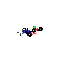 CN(C)[C@H]1CCN(CC(c2ccc(OCc3ccccc3)c(Cl)c2)C2(O)CCCCC2)C1